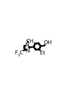 CCc1cc(-c2nc(C(F)(F)F)cn2C)ccc1CO